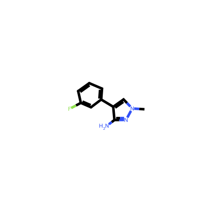 Cn1cc(-c2cccc(F)c2)c(N)n1